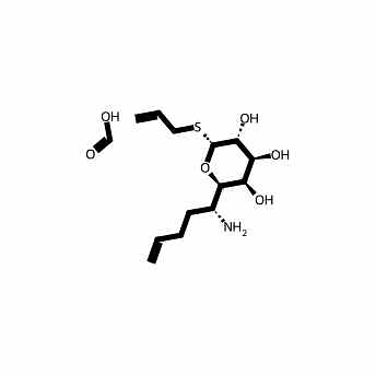 C=CCC[C@@H](N)[C@H]1O[C@H](SCC=C)[C@H](O)[C@@H](O)[C@H]1O.O=CO